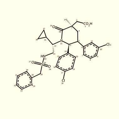 C[C@]1(CC(=O)O)CC(c2cccc(Cl)c2)[C@@H](c2ccc(Cl)cc2)N([C@H](CNS(=O)(=O)Cc2ccccn2)C2CC2)C1=O